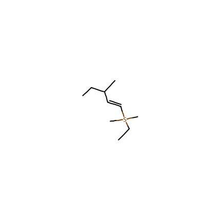 CCC(C)C=CS(C)(C)CC